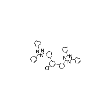 Clc1cc(-c2cccc(-c3nc(-c4ccccc4)nc(-c4ccccc4)n3)c2)cc(-c2cccc(-c3nc(-c4ccccc4)nc(-c4ccccc4)n3)c2)c1